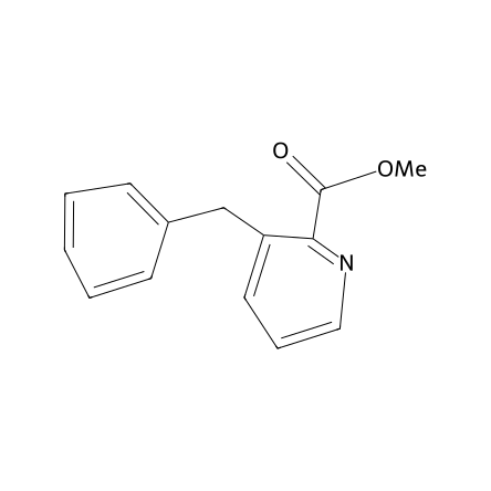 COC(=O)c1ncccc1Cc1ccccc1